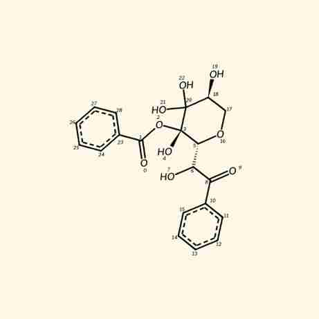 O=C(O[C@@]1(O)[C@@H](C(O)C(=O)c2ccccc2)OC[C@H](O)C1(O)O)c1ccccc1